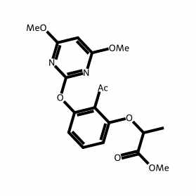 COC(=O)C(C)Oc1cccc(Oc2nc(OC)cc(OC)n2)c1C(C)=O